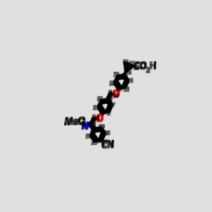 CO/N=C(\COc1ccc(COc2ccc([C@H]3C[C@@H]3C(=O)O)cc2)cc1)c1ccc(C#N)cc1